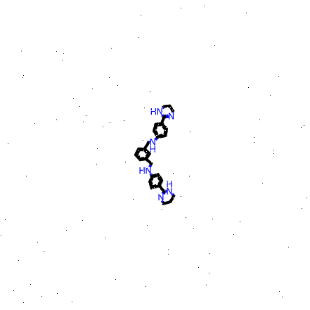 c1cc(CNc2ccc(C3=NCCCN3)cc2)cc(CNc2ccc(C3=NCCCN3)cc2)c1